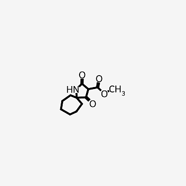 COC(=O)C1C(=O)NC2(CCCCCC2)C1=O